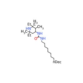 CCCCCCCCCCCCCCCCCCNC(=O)NC1CC(C)(CC)NC(C)(CC)C1C